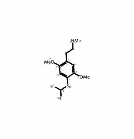 CNCCc1cc(OC)c(SC(F)F)cc1OC